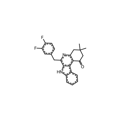 CC1(C)CC(=O)c2c(nc(Cc3ccc(F)c(F)c3)c3[nH]c4ccccc4c23)C1